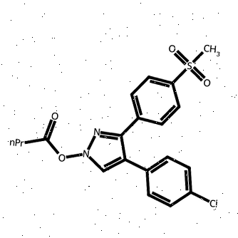 CCCC(=O)On1cc(-c2ccc(Cl)cc2)c(-c2ccc(S(C)(=O)=O)cc2)n1